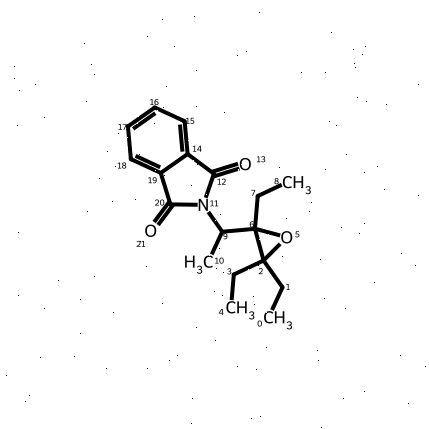 CCC1(CC)OC1(CC)C(C)N1C(=O)c2ccccc2C1=O